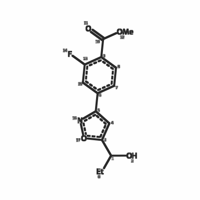 CCC(O)c1cc(-c2ccc(C(=O)OC)c(F)c2)no1